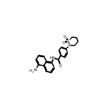 Nc1cccc2c(NC(=O)c3ccc(N4CCCCS4(=O)=O)cc3)cccc12